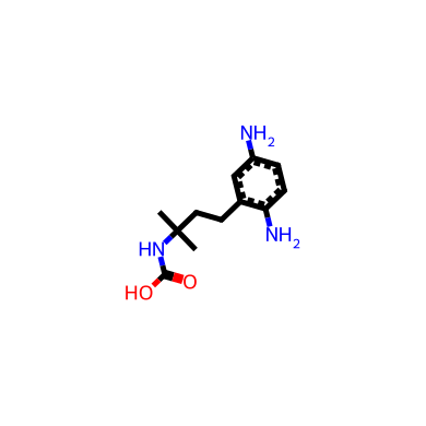 CC(C)(CCc1cc(N)ccc1N)NC(=O)O